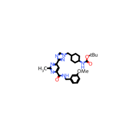 COc1cccc(CNC(=O)c2cc(-c3ncn(CC4CCC(NC(=O)OC(C)(C)C)CC4)n3)nc(C)n2)c1